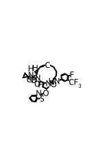 CC1(NC(=O)[C@@]23C[C@H]2/C=C\CCCCC[C@H](Nc2ccc(F)c(C(F)(F)F)c2)C(=O)N2C[C@H](Oc4nc5ccccc5s4)C[C@H]2C(=O)N3)CC1